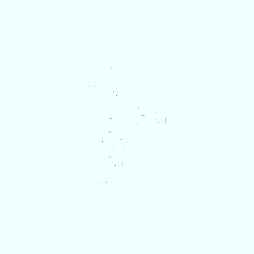 O=C(NCCO)c1cccc2c(Oc3ccc(C[C@@H](CO)N(Cc4ccccc4)C[C@H](O)COc4cccc5[nH]ccc45)cc3)ccnc12